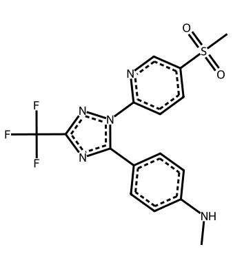 CNc1ccc(-c2nc(C(F)(F)F)nn2-c2ccc(S(C)(=O)=O)cn2)cc1